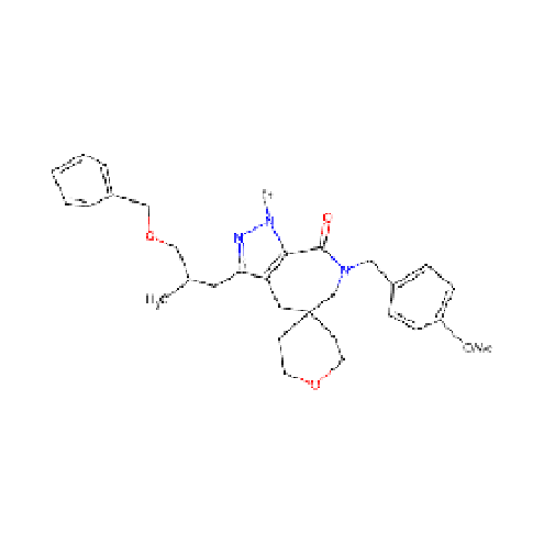 CCn1nc(CC(C)COCc2ccccc2)c2c1C(=O)N(Cc1ccc(OC)cc1)CC1(CCOCC1)C2